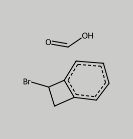 BrC1Cc2ccccc21.O=CO